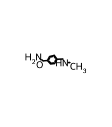 CCNCc1ccc(C(N)=O)cc1